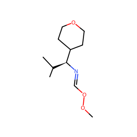 COO/C=N/[C@@H](C(C)C)C1CCOCC1